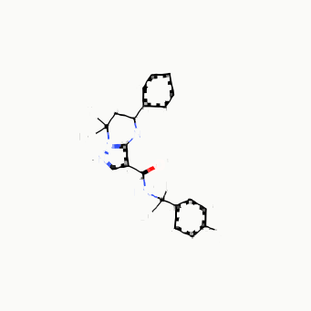 CCC(CC)(NC(=O)c1cnn2c1NC(c1ccccc1)CC2(C)C)c1ccc(C)cc1